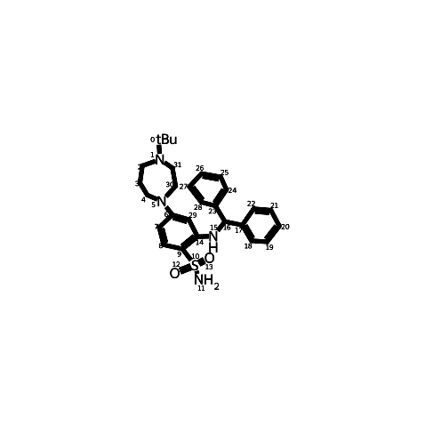 CC(C)(C)N1CCCN(c2ccc(S(N)(=O)=O)c(NC(c3ccccc3)c3ccccc3)c2)CC1